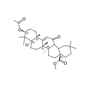 COC(=O)[C@]12CCC(C)(C)CC1C1C(=O)C=C3[C@@]4(C)CC[C@H](OC(C)=O)C(C)(C)[C@@H]4CC[C@@]3(C)[C@]1(C)CC2